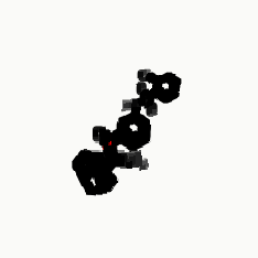 NC(=O)C12CC3CC(C1)C(NC(=O)c1cccc(NS(=O)(=O)c4ccccc4Cl)c1)C(C3)C2